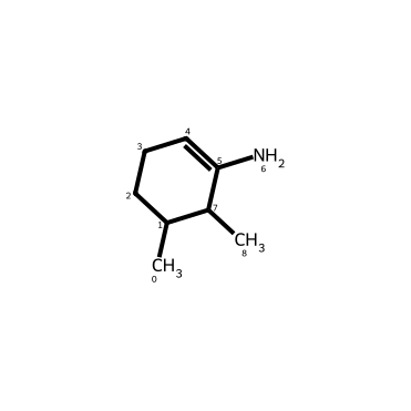 CC1CCC=C(N)C1C